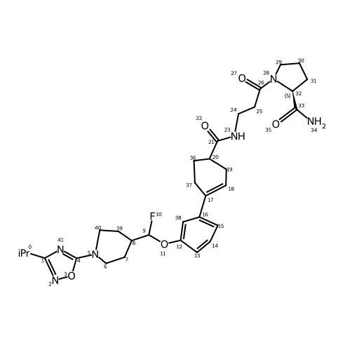 CC(C)c1noc(N2CCC(C(F)Oc3cccc(C4=CCC(C(=O)NCCC(=O)N5CCC[C@H]5C(N)=O)CC4)c3)CC2)n1